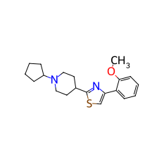 COc1ccccc1-c1csc(C2CCN(C3CCCC3)CC2)n1